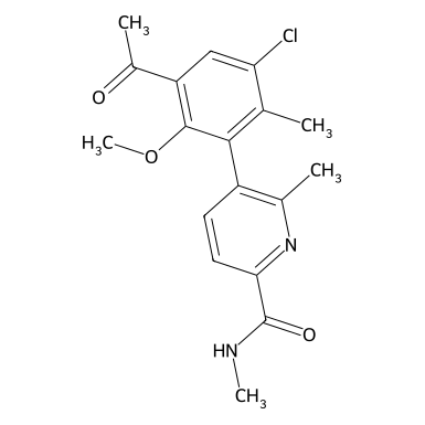 CNC(=O)c1ccc(-c2c(C)c(Cl)cc(C(C)=O)c2OC)c(C)n1